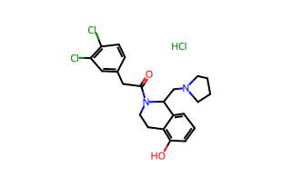 Cl.O=C(Cc1ccc(Cl)c(Cl)c1)N1CCc2c(O)cccc2C1CN1CCCC1